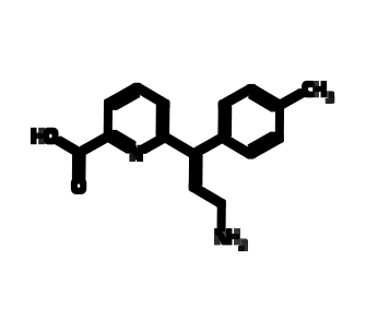 Cc1ccc(/C(=C\CN)c2cccc(C(=O)O)n2)cc1